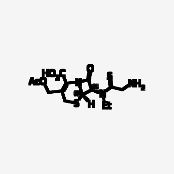 CCN(C(=S)CN)[C@@H]1C(=O)N2C(C(=O)O)=C(COC(C)=O)CS[C@@H]12